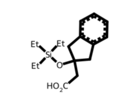 CC[Si](CC)(CC)OC1(CC(=O)O)Cc2ccccc2C1